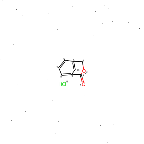 Cl.O=C1OCc2cccc1c2